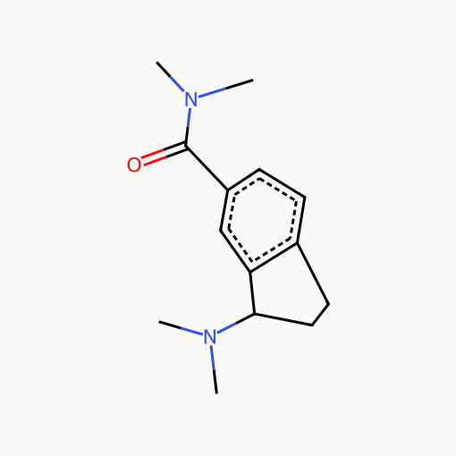 CN(C)C(=O)c1ccc2c(c1)C(N(C)C)CC2